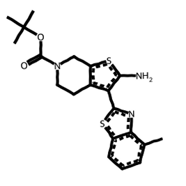 Cc1cccc2sc(-c3c(N)sc4c3CCN(C(=O)OC(C)(C)C)C4)nc12